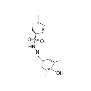 Cc1ccc(S(=O)(=O)N/N=C/c2cc(C)c(O)c(C)c2)cc1